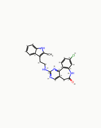 Cc1[nH]c2ccccc2c1CCNc1ncc2c(n1)-c1ccc(Cl)cc1NC(=O)C2